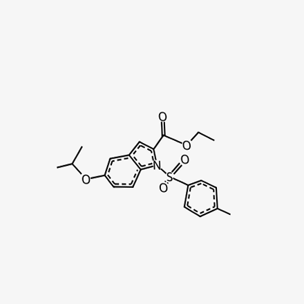 CCOC(=O)c1cc2cc(OC(C)C)ccc2n1S(=O)(=O)c1ccc(C)cc1